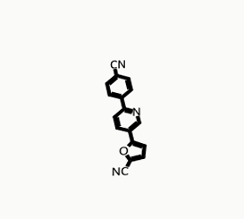 N#Cc1ccc(-c2ccc(-c3ccc(C#N)o3)cn2)cc1